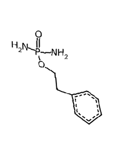 NP(N)(=O)OCCc1ccccc1